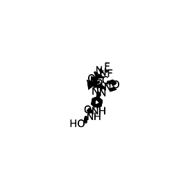 C[C@H]1COCCN1c1cc(C2(S(=O)(=O)c3cnn(C(F)F)c3)CC2)nc(-c2ccc(NC(=O)NCCO)cc2)n1